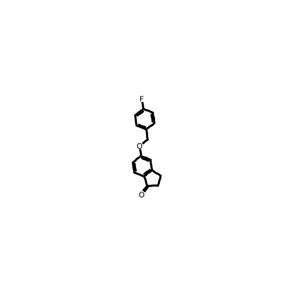 O=C1CCc2cc(OCc3ccc(F)cc3)ccc21